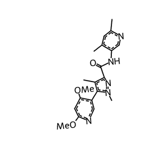 COc1cc(OC)c(-c2c(C)c(C(=O)Nc3cnc(C)cc3C)nn2C)cn1